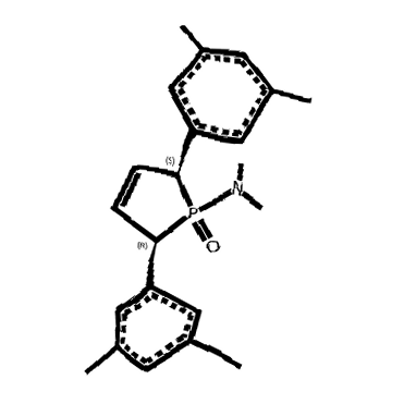 Cc1cc(C)cc([C@H]2C=C[C@@H](c3cc(C)cc(C)c3)P2(=O)N(C)C)c1